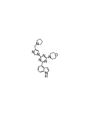 c1cc(-c2nc(N3CCOCC3)nc(-n3cnc(CN4CCCC4)c3)n2)c2cc[nH]c2c1